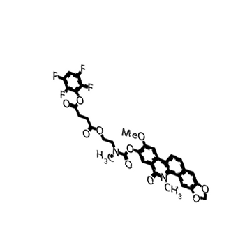 COc1cc2c(cc1OC(=O)N(C)CCOC(=O)CCC(=O)Oc1c(F)c(F)cc(F)c1F)c(=O)n(C)c1c3cc4c(cc3ccc21)OCO4